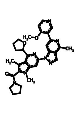 COc1ccncc1-c1cc2c(cnn2-c2cc3c(c(C4CCCO4)n2)c(C)c(C(=O)N2CCCC2)n3C)c(C)n1